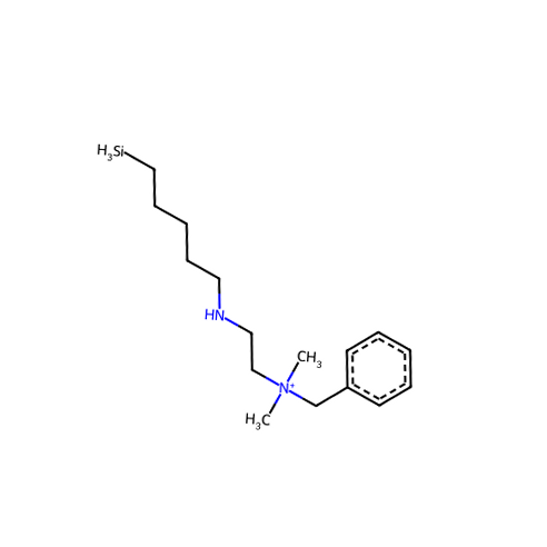 C[N+](C)(CCNCCCCC[SiH3])Cc1ccccc1